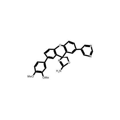 COc1ccc(-c2ccc3c(c2)[C@]2(COC(N)=N2)c2cc(-c4cncnc4)ccc2O3)cc1OC